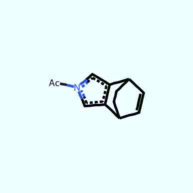 CC(=O)n1cc2c(c1)C1C=CC2CC1